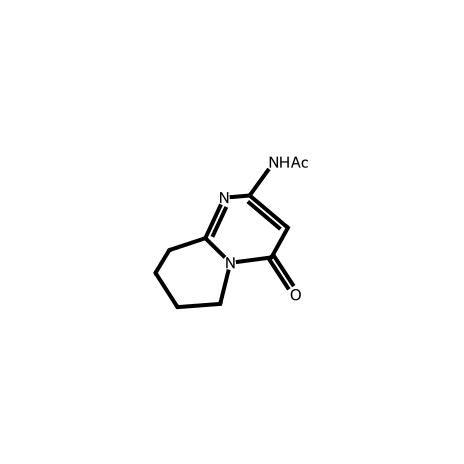 CC(=O)Nc1cc(=O)n2c(n1)CCCC2